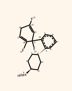 CCCCCC[C@H]1CC[C@H](c2ccccc2C2(F)C=C(F)CC=C2F)CC1